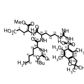 COC(=O)C(CCC(=O)O)NC(=O)C(CCCNC(=N)NS(=O)(=O)c1c(C)c(C)c2c(c1C)CC(C)(C)O2)NC(=O)C(CCCCN)NC(=O)OC(C)(C)C